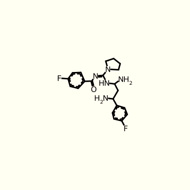 NC(CC(N)c1ccc(F)cc1)N/C(=N\C(=O)c1ccc(F)cc1)N1CCCC1